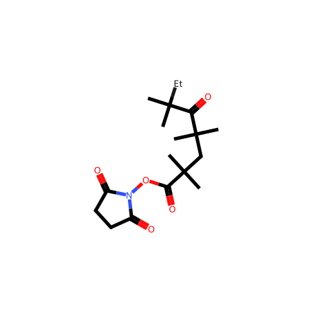 CCC(C)(C)C(=O)C(C)(C)CC(C)(C)C(=O)ON1C(=O)CCC1=O